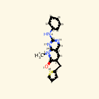 Cn1c(=O)c(Cc2cccs2)cc2cnc(Nc3ccccc3)nc21